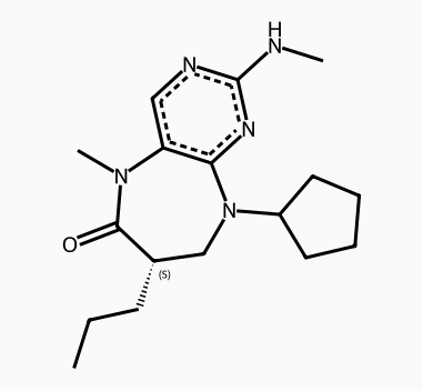 CCC[C@H]1CN(C2CCCC2)c2nc(NC)ncc2N(C)C1=O